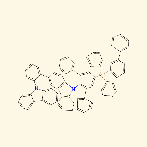 c1cccc(-c2cc(S(c3ccccc3)(c3ccccc3)c3cccc(-c4ccccc4)c3)cc(-c3ccccc3)c2-n2c3c(c4cc(-c5ccccc5-n5c6ccccc6c6ccccc65)ccc42)C=CCC3)c#1